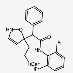 CCCCCCCCCCCCC1(C(C(=O)Nc2c(C(C)C)cccc2C(C)C)c2ccccc2)C=CNO1